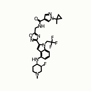 CN1CC[C@@H](Nc2cccc3c2cc(-c2noc(CNC(=O)c4cnn(C5(C)CC5)c4)n2)n3CC(F)(F)F)[C@@H](F)C1